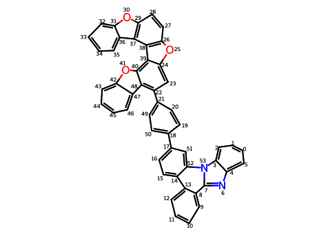 c1ccc2c(c1)nc1c3ccccc3c3ccc(-c4ccc(-c5cc6oc7ccc8oc9ccccc9c8c7c6c6oc7ccccc7c56)cc4)cc3n21